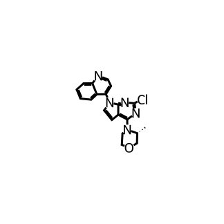 C[C@@H]1COCCN1c1nc(Cl)nc2c1ccn2-c1ccnc2ccccc12